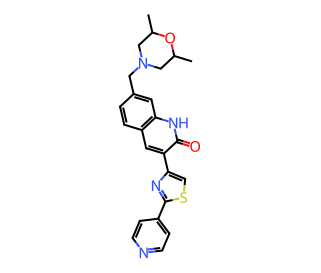 CC1CN(Cc2ccc3cc(-c4csc(-c5ccncc5)n4)c(=O)[nH]c3c2)CC(C)O1